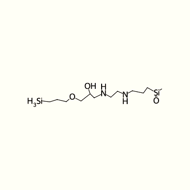 C[Si](=O)CCCNCCNCC(O)COCCC[SiH3]